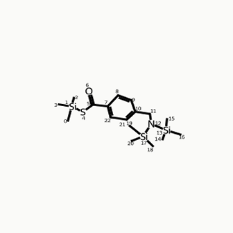 C[Si](C)(C)SC(=O)c1ccc(CN([Si](C)(C)C)[Si](C)(C)C)cc1